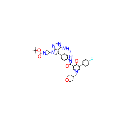 CC(C)(C)OC(=O)N1CC(n2cc(-c3ccc(NC(=O)c4cn(CC5CCOCC5)cc(-c5ccc(F)cc5)c4=O)cc3)c3c(N)ncnc32)C1